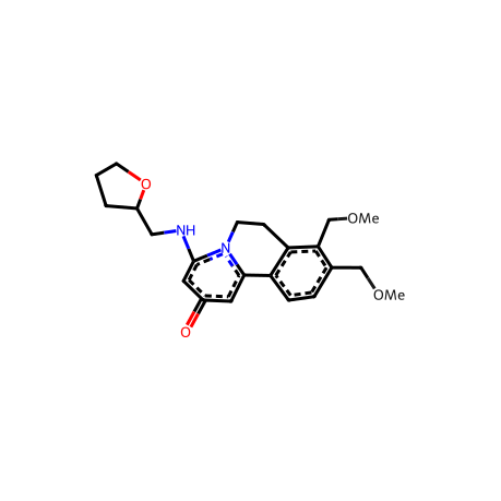 COCc1ccc2c(c1COC)CCn1c(NCC3CCCO3)cc(=O)cc1-2